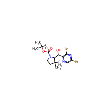 CC(C)(C)OC(=O)N1CCC(C)(C)C1C(O)c1ncc(Br)nc1Br